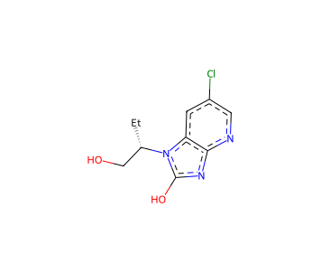 CC[C@@H](CO)n1c(O)nc2ncc(Cl)cc21